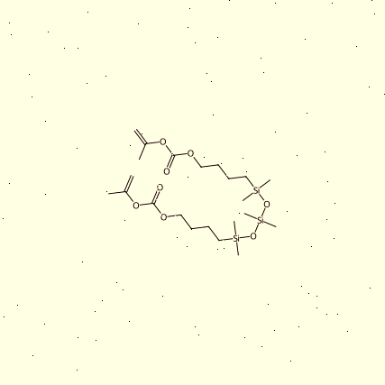 C=C(C)OC(=O)OCCCC[Si](C)(C)O[Si](C)(C)O[Si](C)(C)CCCCOC(=O)OC(=C)C